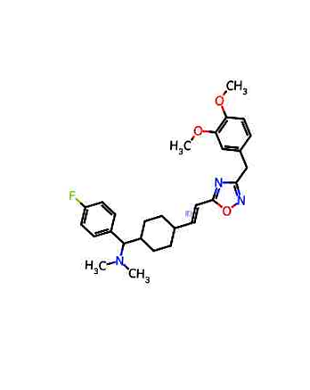 COc1ccc(Cc2noc(/C=C/C3CCC(C(c4ccc(F)cc4)N(C)C)CC3)n2)cc1OC